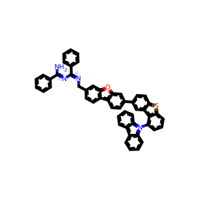 N/C(=N\C(=N/Cc1ccc2c(c1)oc1cc(-c3ccc4sc5cccc(-n6c7ccccc7c7ccccc76)c5c4c3)ccc12)c1ccccc1)c1ccccc1